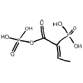 CC=C(C(=O)OP(=O)(O)O)P(=O)(O)O